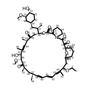 CCOC1C[C@@H]2CC[C@@H](C)[C@@](O)(O2)C(=O)C(=O)N2CCCC[C@H]2C(=O)O[C@H]([C@H](C)C[C@@H]2CC[C@@H](O)[C@H](OC)C2)CC(=O)[C@H](C)/C=C(\C)[C@@H](O)[C@@H](OC)C(=O)[C@H](C)C[C@H](C)/C=C/C=C/C=C/1C